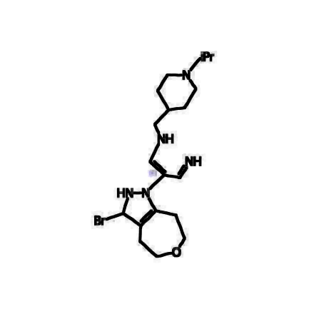 CC(C)N1CCC(CN/C=C(\C=N)N2NC(Br)C3=C2CCOCC3)CC1